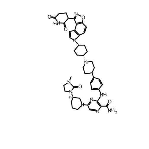 CN1CCN([C@@H]2CCCN(c3cnc(C(N)=O)c(Nc4ccc(C5CCN([C@H]6CC[C@H](n7ccc8c9c(C%10CCC(=O)NC%10=O)noc9ccc87)CC6)CC5)cc4)n3)C2)C1=O